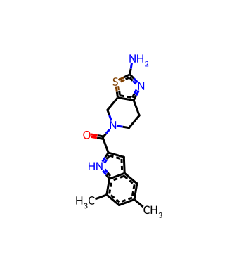 Cc1cc(C)c2[nH]c(C(=O)N3CCc4nc(N)sc4C3)cc2c1